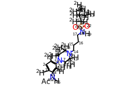 [2H]c1cc([2H])c(N2C([2H])([2H])C([2H])([2H])N(CCCCN([2H])S(=O)(=O)C([2H])([2H])C([2H])(C([2H])([2H])[2H])C([2H])([2H])[2H])C([2H])([2H])C2([2H])[2H])c([2H])c1N([2H])C(C)=O